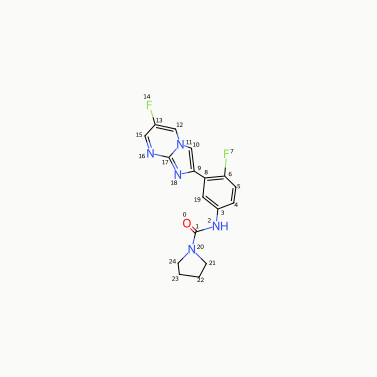 O=C(Nc1ccc(F)c(-c2cn3cc(F)cnc3n2)c1)N1CCCC1